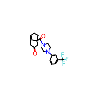 O=C1CC2=CCCC2(C(=O)N2CCN(c3cccc(C(F)(F)F)c3)CC2)C1